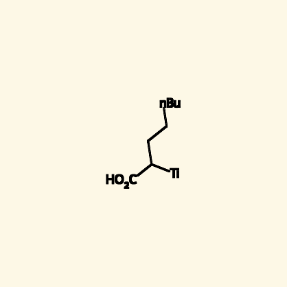 CCCCCC[CH]([Ti])C(=O)O